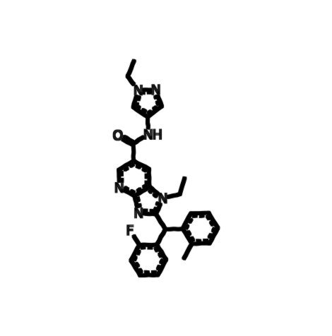 CCn1cc(NC(=O)c2cnc3nc(C(c4ccccc4C)c4ccccc4F)n(CC)c3c2)cn1